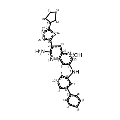 Cl.Nc1nc2cc(Nc3cncc(-c4ccccc4)c3)cnc2cc1-c1nnc(C2CCCC2)s1